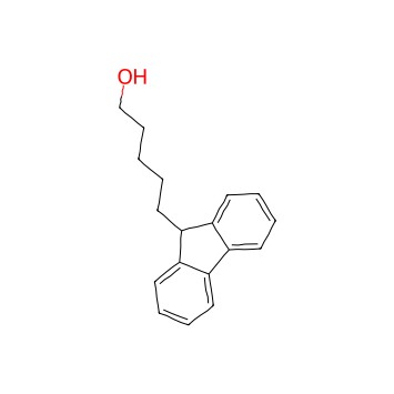 OCCCCCC1c2ccccc2-c2ccccc21